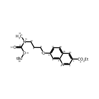 CCOC(=O)c1cnc2cc(OCCCN(C)C(=O)OC(C)(C)C)ccc2c1